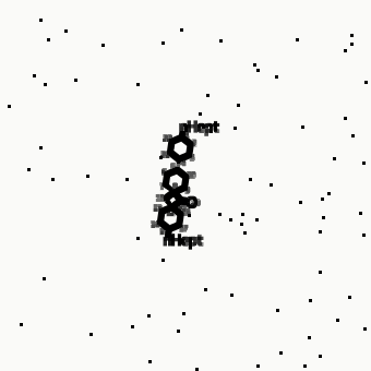 CCCCCCCC1CCC([C@H]2CC[C@]3(CC2)C[C@@]2(CCC(CCCCCCC)CC2)C3=O)CC1